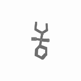 CCN(CC)P(=O)(O)c1ccccc1